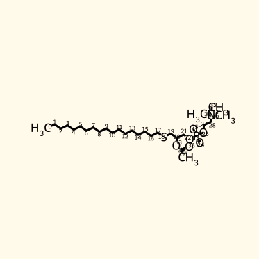 CCCCCCCCCCCCCCCCCCSCC(COP(=O)([O-])OCC[N+](C)(C)C)OC(C)=O